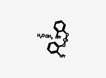 CCCc1ccccc1[O][Co][O]c1ccccc1CCC.O.O